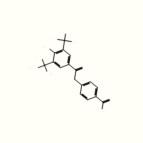 CC(C)(C)c1cc(C(=O)Cc2ccc(C(=O)O)cc2)cc(C(C)(C)C)c1O